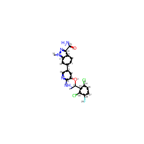 CC(Oc1cc(-c2ccc3c(C(N)=O)nn(C)c3c2)cnc1N)c1c(Cl)ccc(F)c1Cl